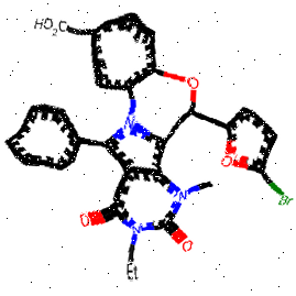 CCn1c(=O)c2c(-c3ccccc3)n3c(c2n(C)c1=O)C(c1ccc(Br)o1)Oc1ccc(C(=O)O)cc1-3